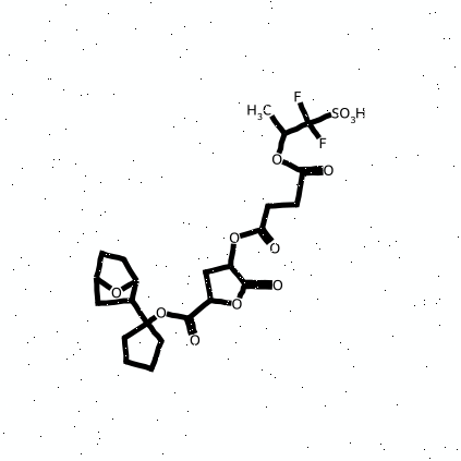 CC(OC(=O)CCC(=O)OC1CC(C(=O)OC2(C3CC4CCC3O4)CCCC2)OC1=O)C(F)(F)S(=O)(=O)O